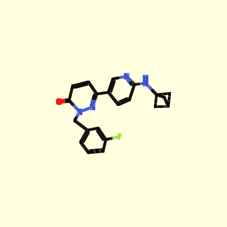 O=c1ccc(-c2ccc(NC34CC(C3)C4)nc2)nn1Cc1cccc(F)c1